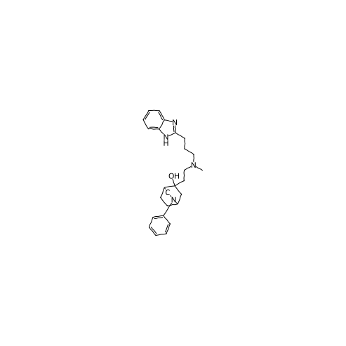 CN(CCCc1nc2ccccc2[nH]1)CCC1(O)CC2CCC1CN2c1ccccc1